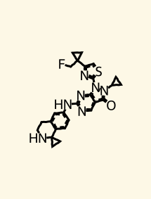 O=c1c2cnc(Nc3ccc4c(c3)CCNC43CC3)nc2n(-c2nc(C3(CF)CC3)cs2)n1C1CC1